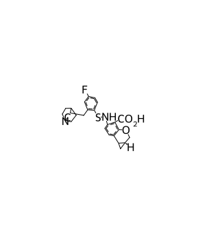 O=C(O)c1c(NSc2ccc(F)cc2CC2CN3CCC2CC3)ccc2c1OC[C@@H]1CC21